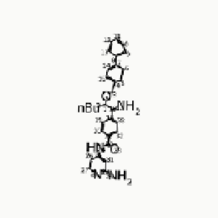 CCCCC(OCc1ccc(-c2ccccc2)cc1)C(N)c1ccc(C(=O)Nc2ccnc(N)c2)cc1